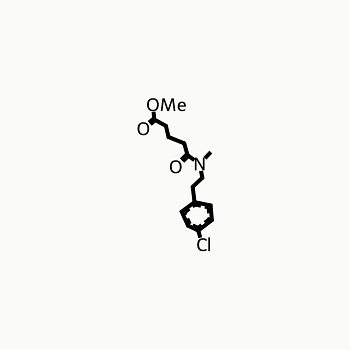 COC(=O)CCCC(=O)N(C)CCc1ccc(Cl)cc1